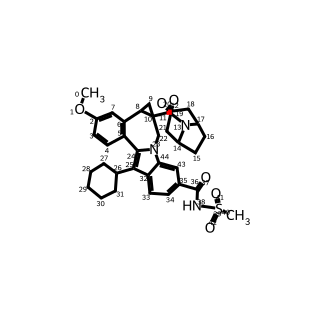 COc1ccc2c(c1)C1CC1(C(=O)N1C3CCC1CC(=O)C3)Cn1c-2c(C2CCCCC2)c2ccc(C(=O)NS(C)(=O)=O)cc21